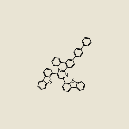 c1ccc(-c2ccc(-c3ccc(-c4nc(-c5cccc6c5sc5ccccc56)cc(-c5cccc6c5sc5ccccc56)n4)c(-c4ccccc4)c3)cc2)cc1